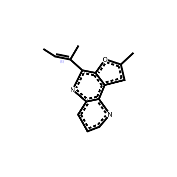 C/C=C(\C)c1nc2cccnc2c2cc(C)oc12